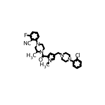 CC1CN(c2cccc(F)c2C#N)CCN1C(=O)c1cc(CN2CCN(c3ccccc3Cl)CC2)cn1C